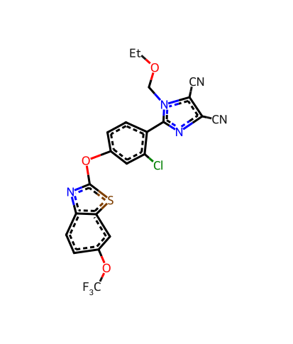 CCOCn1c(-c2ccc(Oc3nc4ccc(OC(F)(F)F)cc4s3)cc2Cl)nc(C#N)c1C#N